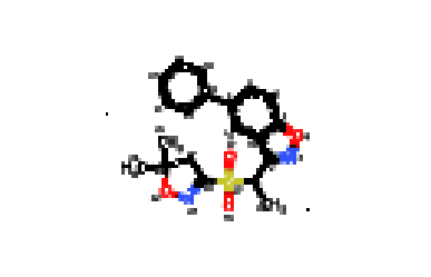 CC(c1noc2ccc(-c3ccccc3)cc12)S(=O)(=O)C1=NOC(C)(C)C1